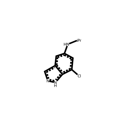 CC(C)Nc1cc(Cl)c2[nH]ncc2c1